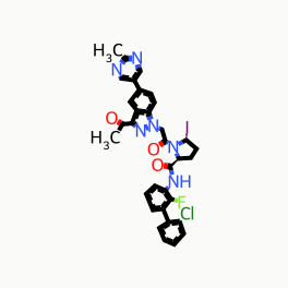 CC(=O)c1nn(CC(=O)N2[C@H](I)CC[C@H]2C(=O)Nc2cccc(-c3ccccc3Cl)c2F)c2ccc(-c3cnc(C)nc3)cc12